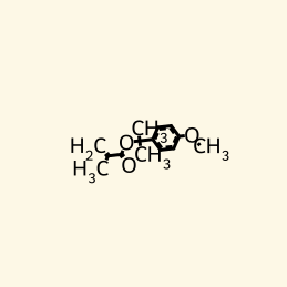 C=C(C)C(=O)OC(C)(C)c1ccc(OC)cc1